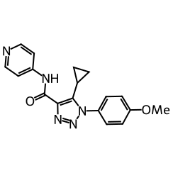 COc1ccc(-n2nnc(C(=O)Nc3ccncc3)c2C2CC2)cc1